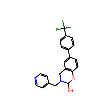 OC1Oc2ccc(-c3ccc(C(F)(F)F)cc3)cc2CN1Cc1ccncc1